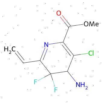 C=CC1=NC(C(=O)OC)=C(Cl)C(N)C1(F)F